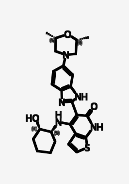 C[C@@H]1CN(c2ccc3nc(-c4c(N[C@H]5CCCC[C@H]5O)c5ccsc5[nH]c4=O)[nH]c3c2)C[C@H](C)O1